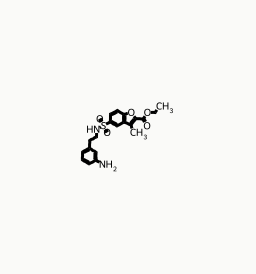 CCOC(=O)c1oc2ccc(S(=O)(=O)NCCc3cccc(N)c3)cc2c1C